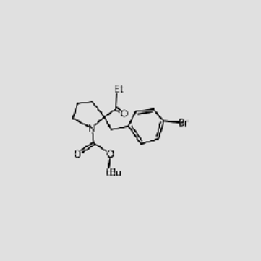 CCC(=O)C1(Cc2ccc(Br)cc2)CCCN1C(=O)OC(C)(C)C